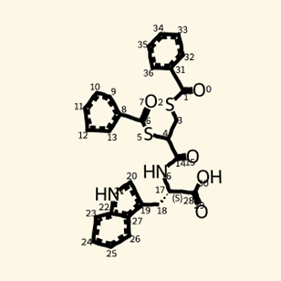 O=C(SCC(SC(=O)c1ccccc1)C(=O)N[C@@H](Cc1c[nH]c2ccccc12)C(=O)O)c1ccccc1